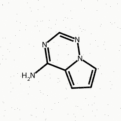 Nc1ncnn2[c]ccc12